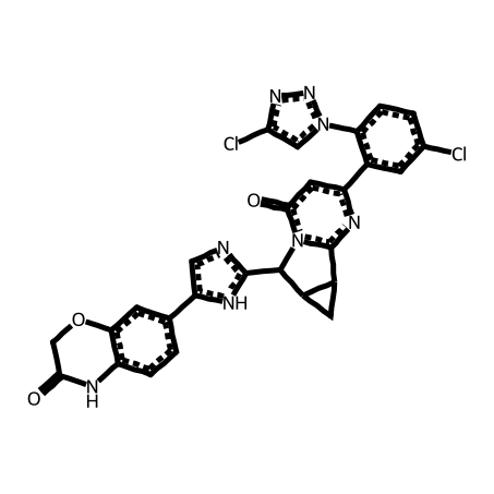 O=C1COc2cc(-c3cnc(C4C5CC5c5nc(-c6cc(Cl)ccc6-n6cc(Cl)nn6)cc(=O)n54)[nH]3)ccc2N1